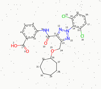 O=C(O)c1cccc(NC(=O)c2nn(-c3c(Cl)cccc3Cl)nc2COC2CCCCCC2)c1